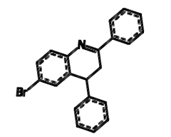 Brc1ccc2c(c1)C(c1ccccc1)CC(c1ccccc1)=N2